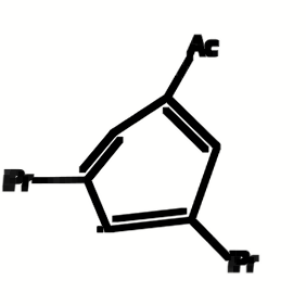 CC(=O)c1cc(C(C)C)[c]c(C(C)C)c1